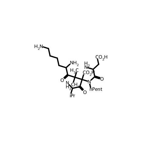 CCCCCN(C(=O)C(N)CC(=O)O)C(C(=O)O)(C(=O)C(N)C(C)C)C(C)(C)C(=O)C(N)CCCCN